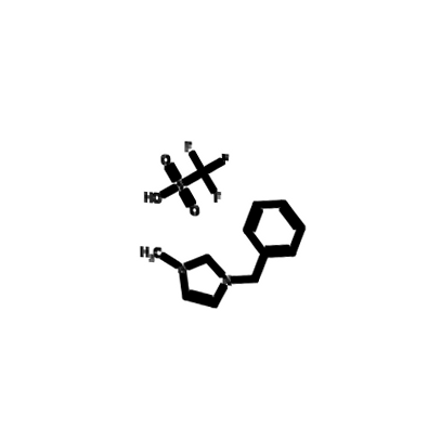 CN1C=CN(Cc2ccccc2)C1.O=S(=O)(O)C(F)(F)F